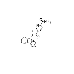 NC(=O)c1ccc2c(n1)CCC(C1c3ccccc3-c3cncn31)C2=O